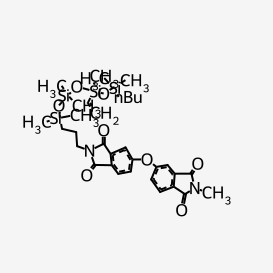 C=C[Si](C)(O[Si](C)(C)CCCC)O[Si](C)(C)O[Si](C)(C)CCCN1C(=O)c2ccc(Oc3ccc4c(c3)C(=O)N(C)C4=O)cc2C1=O